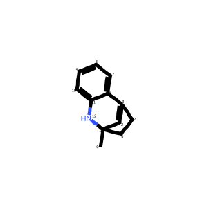 CC12C=C(CC1)c1ccccc1N2